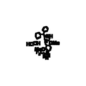 COc1ccc(-n2nnnc2C(F)(F)F)c(OC)c1CN1CCN[C@H](C(c2ccccc2)c2ccccc2)C1.Cl.Cl